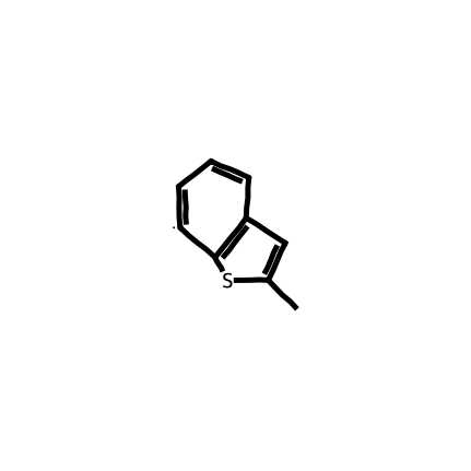 Cc1cc2ccc[c]c2s1